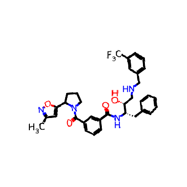 Cc1cc(C2CCCN2C(=O)c2cccc(C(=O)N[C@@H](Cc3ccccc3)[C@H](O)CNCc3cccc(C(F)(F)F)c3)c2)on1